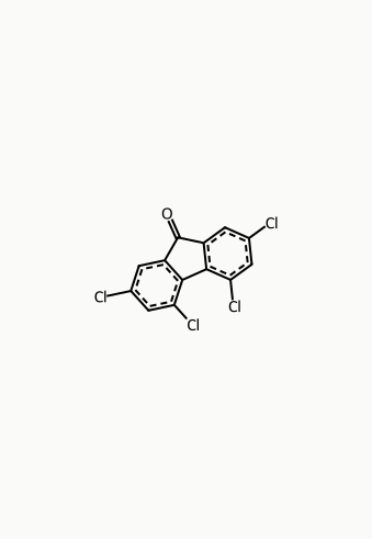 O=C1c2cc(Cl)cc(Cl)c2-c2c(Cl)cc(Cl)cc21